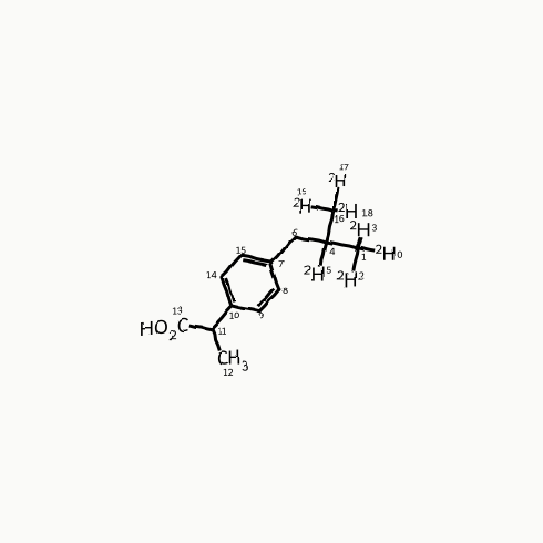 [2H]C([2H])([2H])C([2H])(Cc1ccc(C(C)C(=O)O)cc1)C([2H])([2H])[2H]